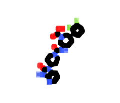 O=C(O)N1C[C@H](NC(=O)N2CCC(n3c(=O)[nH]c4ncccc43)CC2)CC[C@@H](c2cccc(F)c2F)C1